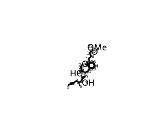 CC#CC[C@H](C)[C@H](O)/C=C/[C@@H]1Cc2cccc(CCCC(=O)OC)c2OCC[C@H]1O